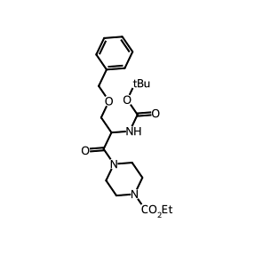 CCOC(=O)N1CCN(C(=O)C(COCc2ccccc2)NC(=O)OC(C)(C)C)CC1